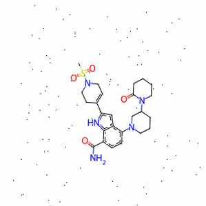 CS(=O)(=O)N1CC=C(c2cc3c(N4CCCC(N5CCCCC5=O)C4)ccc(C(N)=O)c3[nH]2)CC1